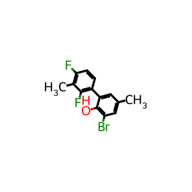 Cc1cc(Br)c(O)c(-c2ccc(F)c(C)c2F)c1